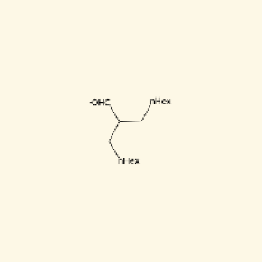 CCCCCCCC([C]=O)CCCCCCC